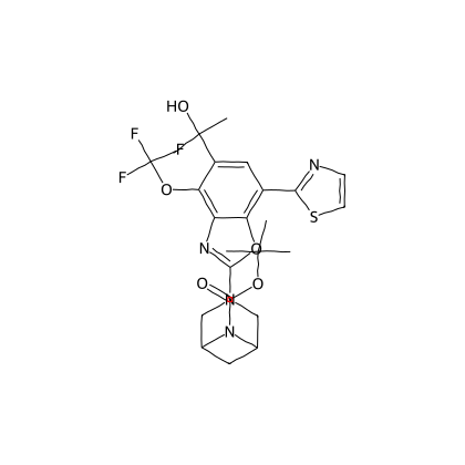 CC(C)(C)OC(=O)N1C2CC1CN(c1nc3c(OC(F)(F)F)c(C(C)(C)O)cc(-c4nccs4)c3o1)C2